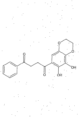 O=C(CCC(=O)c1cc2c(c(O)c1O)OCCO2)c1ccccc1